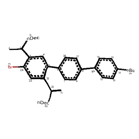 CCCCCCCCCCC(C)c1cc(-c2ccc(-c3ccc(CCCC)cc3)cc2)c(C(C)CCCCCCCCCC)cc1Br